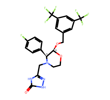 O=c1[nH]nc(CN2CCO[C@H](OCc3cc(C(F)(F)F)cc(C(F)(F)F)c3)[C@@H]2c2ccc(F)cc2)[nH]1